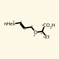 CCCCCC/C=C/COC(CC)C(=O)O